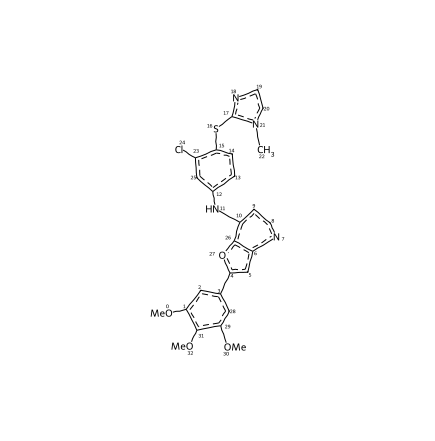 COc1cc(-c2cc3nccc(Nc4ccc(Sc5nccn5C)c(Cl)c4)c3o2)cc(OC)c1OC